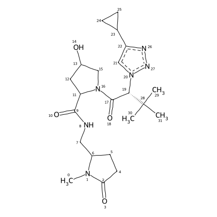 CN1C(=O)CCC1CNC(=O)C1CC(O)CN1C(=O)[C@H](n1cc(C2CC2)nn1)C(C)(C)C